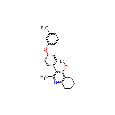 CCOc1c2c(nc(C)c1-c1ccc(Oc3cccc(C(F)(F)F)c3)cc1)CCCC2